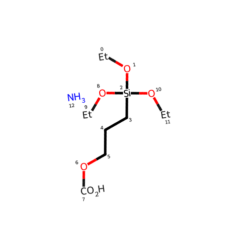 CCO[Si](CCCOC(=O)O)(OCC)OCC.N